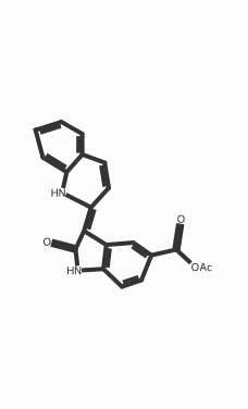 CC(=O)OC(=O)c1ccc2c(c1)C(=C1C=Cc3ccccc3N1)C(=O)N2